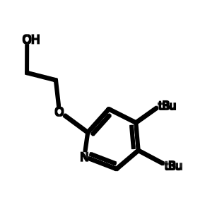 CC(C)(C)c1cnc(OCCO)cc1C(C)(C)C